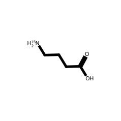 [15NH2]CCCC(=O)O